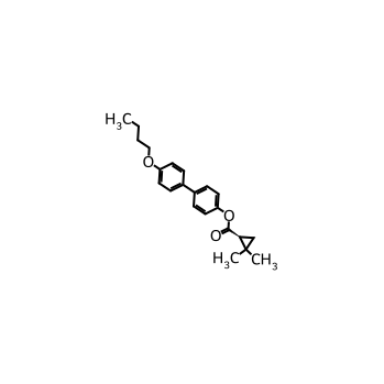 CCCCOc1ccc(-c2ccc(OC(=O)[C@H]3CC3(C)C)cc2)cc1